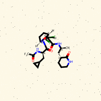 N#C[C@@H](C[C@H]1CCCNC1=O)NC(=O)[C@H]1[C@@H]2CC[C@@H](CC2(F)F)N1C(=O)[C@@H](CC1CC1)NC(=O)C(F)(F)F